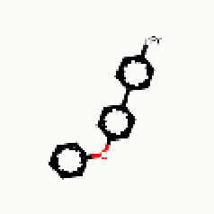 CCCc1ccc(-c2ccc(Oc3ccccc3)cc2)cc1